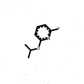 CC(C)Oc1[c]ccc(F)n1